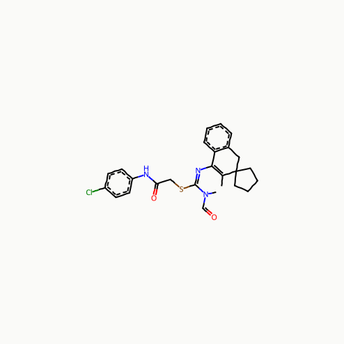 CC1=C(/N=C(/SCC(=O)Nc2ccc(Cl)cc2)N(C)C=O)c2ccccc2CC12CCCC2